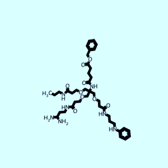 CCCNC(=O)CCOCC(COCCC(=O)NCCCNc1ccccc1)(COCCC(=O)NCCC(N)N)NC(=O)CCCC(=O)OCc1ccccc1